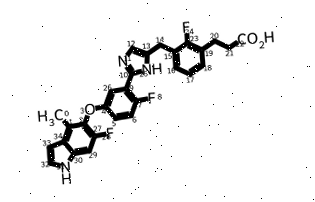 Cc1c(Oc2ccc(F)c(-c3ncc(Cc4cccc(CCC(=O)O)c4F)[nH]3)c2)c(F)cc2[nH]ccc12